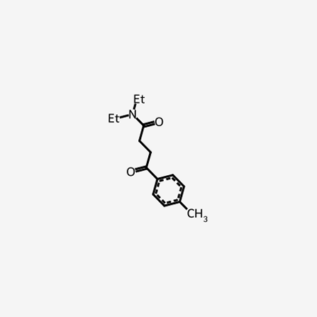 CCN(CC)C(=O)CCC(=O)c1ccc(C)cc1